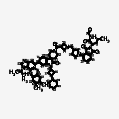 CCCC(C(=O)NC=O)N1C(=O)c2cccc(N3CCC(CN4CC(C(=O)N5CCC6(CC5)C(=O)N(C5CC(N7CCCCC7)C5)c5cc(-c7cc8ncn(C(C)C)c8c(Nc8cc(C)c(C)cc8F)n7)ccc56)C4)C3)c2C1=O